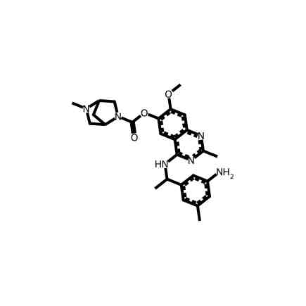 COc1cc2nc(C)nc(NC(C)c3cc(C)cc(N)c3)c2cc1OC(=O)N1CC2CC1CN2C